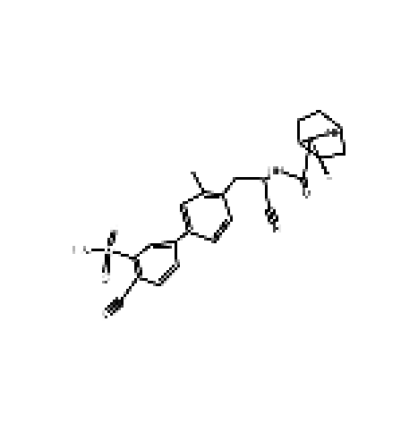 CS(=O)(=O)c1cc(-c2ccc(CC(C#N)NC(=O)[C@H]3NC4CCC3CC4)c(F)c2)ccc1C#N